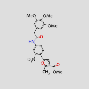 COC(=O)c1cc(-c2ccc(NC(=O)Cc3cc(OC)c(OC)c(OC)c3)cc2[N+](=O)[O-])oc1C